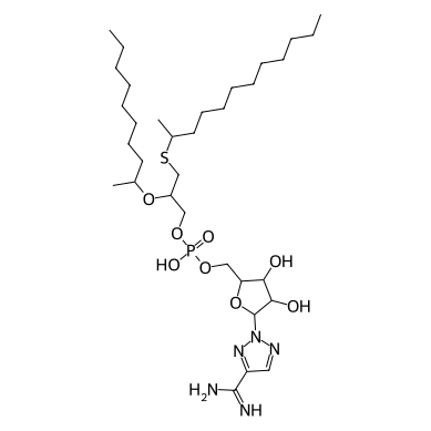 CCCCCCCCCCC(C)SCC(COP(=O)(O)OCC1OC(n2ncc(C(=N)N)n2)C(O)C1O)OC(C)CCCCCCCC